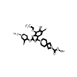 CN1CCC(Oc2nc(N3CCC4(CC3)CN(C(=O)OC(C)(C)C)C4)c3cc(I)c(Br)c(OCC(F)(F)F)c3n2)C(F)C1